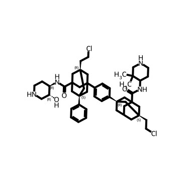 CC1(C)CNCCC1NC(=O)C12CC3C[C@@](CCCl)(C1)C[C@](c1ccc(C45CC6(C(=O)N[C@@H]7CCNC[C@H]7O)C[C@](CCCl)(C4)C[C@@](c4ccccc4)(C6)C5)cc1)(C3)C2